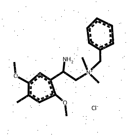 COc1cc(C(N)C[N+](C)(C)Cc2ccccc2)c(OC)cc1C.[Cl-]